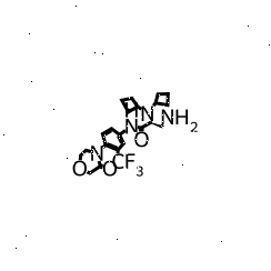 NC[C@@H](C(=O)Nc1ccc(N2CCOCC2=O)c(C(F)(F)F)c1)N(C1CCC1)C1CCC1